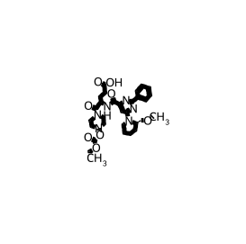 CCOC(=O)ON1CCN(C(=O)C(CCC(=O)O)NC(=O)c2cc(N3CCCC[C@H]3COC)nc(-c3ccccc3)n2)CC1